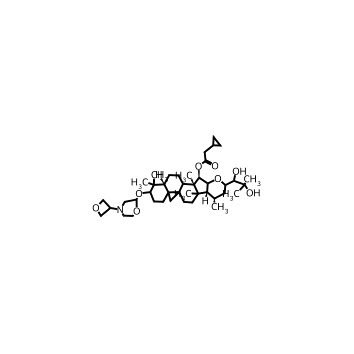 C[C@@H]1CC(C(O)C(C)(C)O)OC2[C@H]1C1(C)CCC34CC35CCC(O[C@H]3CN(C6COC6)CCO3)C(C)(C)[C@@H]5CCC4[C@]1(C)[C@H]2OC(=O)CC1CC1